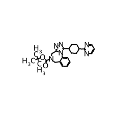 CC(C)(C)OC(=O)N1Cc2ccccc2-n2c(nnc2C2CCC(c3ncccn3)CC2)C1